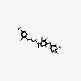 Cc1cc(Br)cnc1CCCCNc1ncc(Cc2ccc(C)[n+]([O-])c2)c(=O)[nH]1